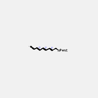 [CH]=C/C=C/C=C/C=C/CCCCCC